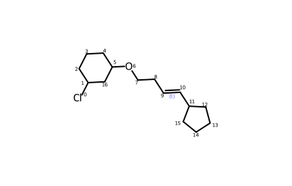 ClC1CCCC(OCC/C=C/C2CCCC2)C1